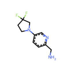 NCc1ccc(N2CCC(F)(F)C2)cn1